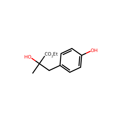 CCOC(=O)C(C)(O)Cc1ccc(O)cc1